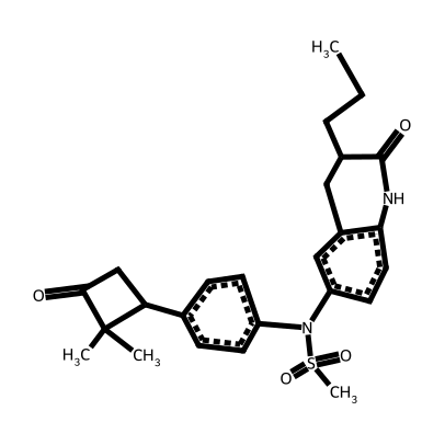 CCCC1Cc2cc(N(c3ccc(C4CC(=O)C4(C)C)cc3)S(C)(=O)=O)ccc2NC1=O